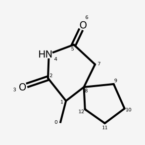 CC1C(=O)NC(=O)CC12CCCC2